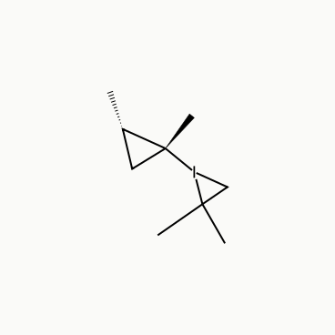 C[C@H]1C[C@@]1(C)I1CC1(C)C